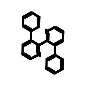 c1ccc(-c2cccnc2-c2ncccc2-c2ccccc2)cc1